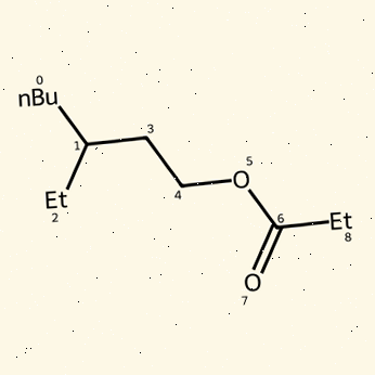 CCCCC(CC)CCOC(=O)CC